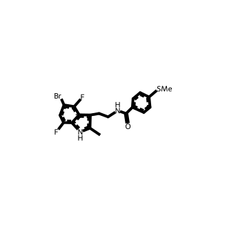 CSc1ccc(C(=O)NCCc2c(C)[nH]c3c(F)cc(Br)c(F)c23)cc1